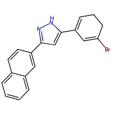 BrC1=CC(c2cc(-c3ccc4ccccc4c3)n[nH]2)=CCC1